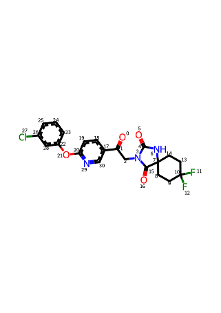 O=C(CN1C(=O)NC2(CCC(F)(F)CC2)C1=O)c1ccc(Oc2cccc(Cl)c2)nc1